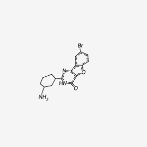 NC1CCCC(c2nc3c(oc4ccc(Br)cc43)c(=O)[nH]2)C1